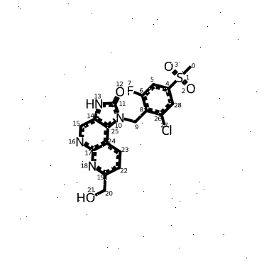 CS(=O)(=O)c1cc(F)c(Cn2c(=O)[nH]c3cnc4nc(CO)ccc4c32)c(Cl)c1